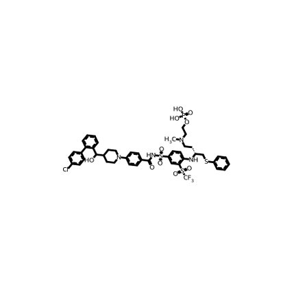 CN(CCOP(=O)(O)O)CC[C@H](CSc1ccccc1)Nc1ccc(S(=O)(=O)NC(=O)c2ccc(N3CCC(C(O)c4ccccc4-c4ccc(Cl)cc4)CC3)cc2)cc1S(=O)(=O)C(F)(F)F